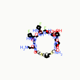 C[C@H](O)[C@@H]1NC(=O)[C@@H]2C[C@@H](F)CN2[C@@H](Cc2c[nH]c3ccc(F)cc23)C(=O)NC(=O)[C@H](Cc2c[nH]c3ccc(F)cc23)NC(=O)CNC(=O)[C@H](CCCCN)NC(=O)CCSCc2cccc(c2)CSC[C@@H](C(N)=O)NC(=O)[C@@H]2CCCN2C(=O)[C@H](Cc2ccc(O)cc2)NC1=O